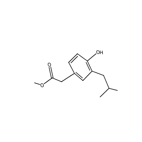 COC(=O)Cc1ccc(O)c(CC(C)C)c1